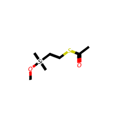 CO[Si](C)(C)CCSC(C)=O